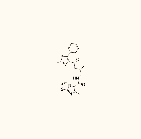 Cc1nc(C(=O)N[C@@H](C)CNC(=O)c2c(C)nc3sccn23)c(-c2ccccc2)s1